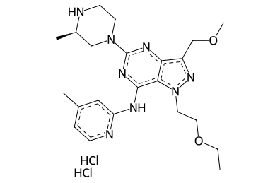 CCOCCn1nc(COC)c2nc(N3CCN[C@H](C)C3)nc(Nc3cc(C)ccn3)c21.Cl.Cl